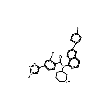 Cn1cc(-c2ccc(C(=O)N(c3nccc4cc(-c5ccc(F)cc5)ccc34)[C@@H]3CCCNC3)c(F)c2)nn1